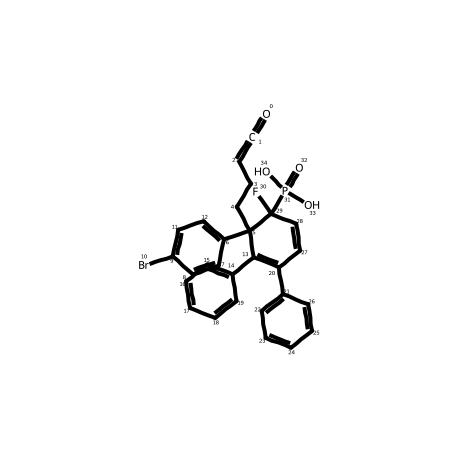 O=C=CCCC1(c2ccc(Br)cc2)C(c2ccccc2)=C(c2ccccc2)C=CC1(F)P(=O)(O)O